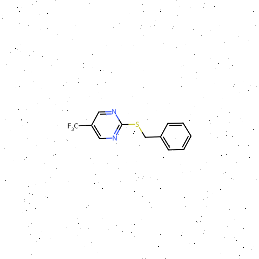 FC(F)(F)c1cnc(SCc2ccccc2)nc1